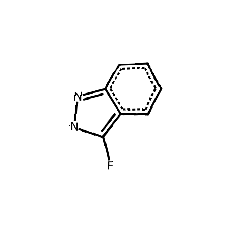 FC1=c2ccccc2=N[N]1